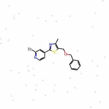 CCc1cc(-c2nc(C)c(COCc3ccccc3)s2)ccn1